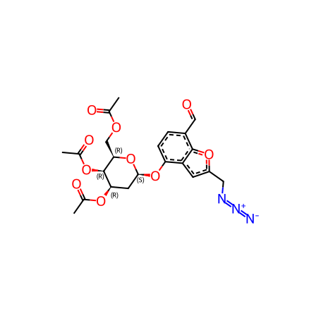 CC(=O)OC[C@H]1O[C@@H](Oc2ccc(C=O)c3oc(CN=[N+]=[N-])cc23)C[C@@H](OC(C)=O)[C@H]1OC(C)=O